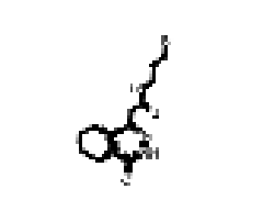 O=C(Cc1n[nH]c(=O)c2c1CCCC2)NCCCBr